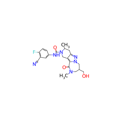 CC1Cc2nn3c(c2CN1C(=O)Nc1ccc(F)c(C#N)c1)C(=O)N(C)CC(CO)C3